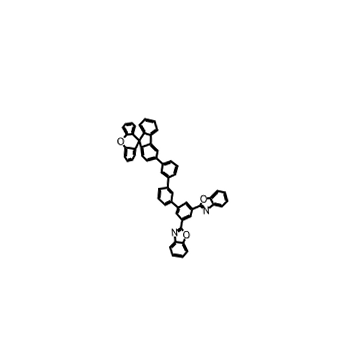 c1cc(-c2cccc(-c3ccc4c(c3)-c3ccccc3C43c4ccccc4Oc4ccccc43)c2)cc(-c2cc(-c3nc4ccccc4o3)cc(-c3nc4ccccc4o3)c2)c1